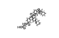 CN(c1ccccc1)S(=O)(=O)c1cccc(NC(=O)N(Cc2ccc(C(=O)NCCC(=O)O)cc2)c2ccc(C3CCCCC3)cc2)c1